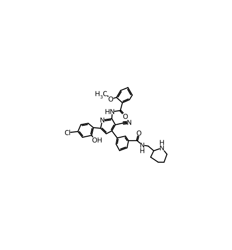 COc1ccccc1C(=O)Nc1nc(-c2ccc(Cl)cc2O)cc(-c2cccc(C(=O)NCC3CCCCN3)c2)c1C#N